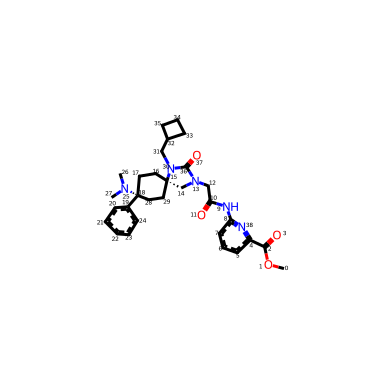 COC(=O)c1cccc(NC(=O)CN2C[C@]3(CC[C@@](c4ccccc4)(N(C)C)CC3)N(CC3CCC3)C2=O)n1